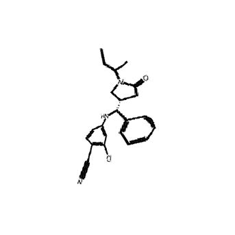 CCC(C)N1C[C@@H](C(Nc2ccc(C#N)c(Cl)c2)c2ccccc2)CC1=O